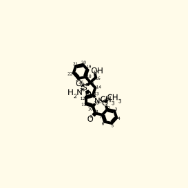 COc1ccccc1C(=O)c1ccc(CC(CO)(c2ccccc2)S(N)(=O)=O)n1C